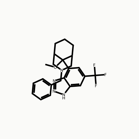 COC1(c2cc(C(F)(F)F)cc3[nH]nnc23)C2CCCC1CN(Cc1ccccc1)C2